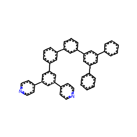 c1ccc(-c2cc(-c3ccccc3)cc(-c3cccc(-c4cccc(-c5cc(-c6ccncc6)cc(-c6ccncc6)c5)c4)c3)c2)cc1